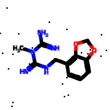 CN(C(=N)N)C(=N)NCc1cccc2c1OCO2